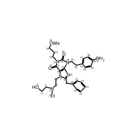 CCN(CCO)CCn1c(Cc2ccccc2)nc2c1c(=O)n(CCCOC)c(=O)n2CCc1ccc(N)cc1